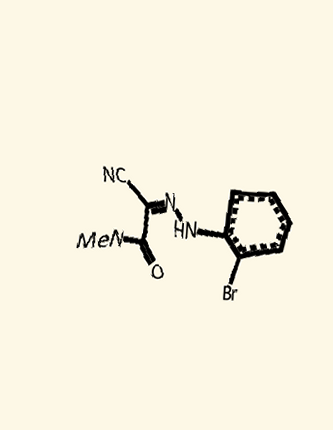 CNC(=O)C(C#N)=NNc1ccccc1Br